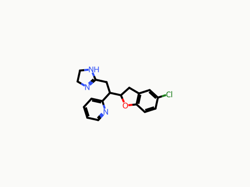 Clc1ccc2c(c1)CC(C(CC1=NCCN1)c1ccccn1)O2